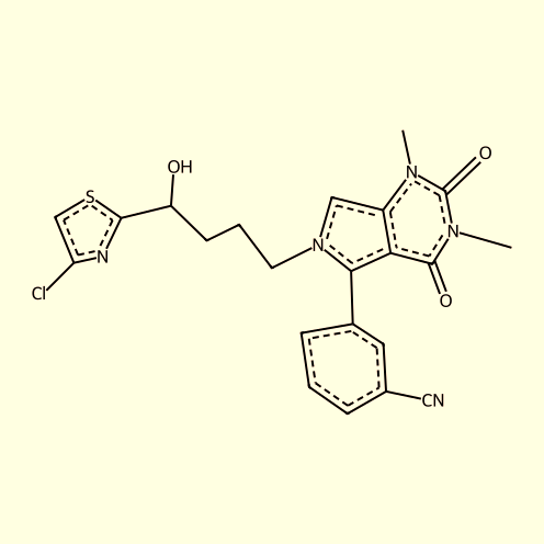 Cn1c(=O)c2c(-c3cccc(C#N)c3)n(CCCC(O)c3nc(Cl)cs3)cc2n(C)c1=O